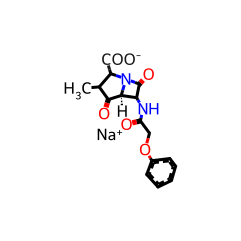 CC1C(=O)[C@@H]2C(NC(=O)COc3ccccc3)C(=O)N2C1C(=O)[O-].[Na+]